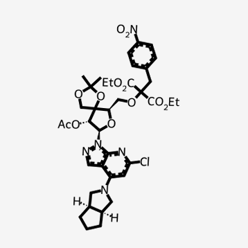 CCOC(=O)C(Cc1ccc([N+](=O)[O-])cc1)(OC[C@H]1O[C@@H](n2ncc3c(N4C[C@H]5CCC[C@H]5C4)cc(Cl)nc32)[C@H](OC(C)=O)C12COC(C)(C)O2)C(=O)OCC